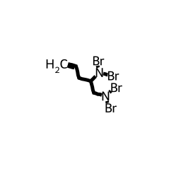 C=CCC(CN(Br)Br)N(Br)Br